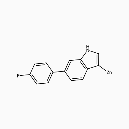 Fc1ccc(-c2ccc3[c]([Zn])c[nH]c3c2)cc1